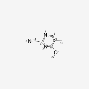 COc1nc(C#N)ncc1C